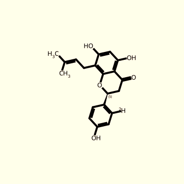 [2H]c1cc(O)ccc1[C@@H]1CC(=O)c2c(O)cc(O)c(CC=C(C)C)c2O1